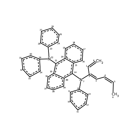 C=C/C(=C\C=C/C)N(c1ccccc1)c1c2ccccc2c(N(c2ccccc2)c2ccccc2)c2ccccc12